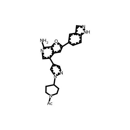 CC(=O)N1CCC(n2cc(-c3cnc(N)c4oc(-c5ccc6[nH]ncc6c5)cc34)cn2)CC1